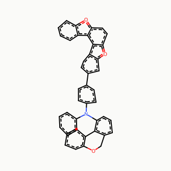 c1ccc(N(c2ccc(-c3ccc4c(c3)oc3ccc5oc6ccccc6c5c34)cc2)c2cccc3c2-c2ccccc2OC3)cc1